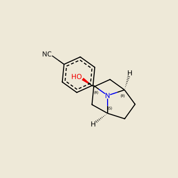 N#Cc1ccc(N2[C@@H]3CC[C@H]2C[C@@H](O)C3)cc1